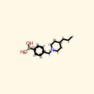 CCCC1CCN(Cc2ccc(B(O)O)cc2)CC1